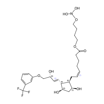 O=C(CCC/C=C\C[C@@H]1[C@@H](/C=C/[C@@H](O)COc2cccc(C(F)(F)F)c2)[C@H](O)C[C@@H]1O)OCCCCON(O)O